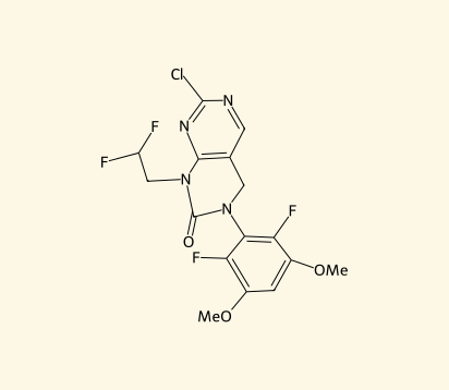 COc1cc(OC)c(F)c(N2Cc3cnc(Cl)nc3N(CC(F)F)C2=O)c1F